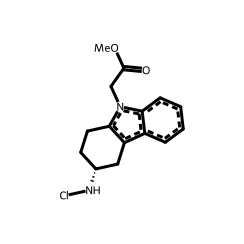 COC(=O)Cn1c2c(c3ccccc31)C[C@H](NCl)CC2